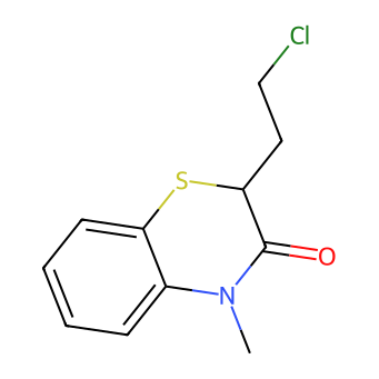 CN1C(=O)C(CCCl)Sc2ccccc21